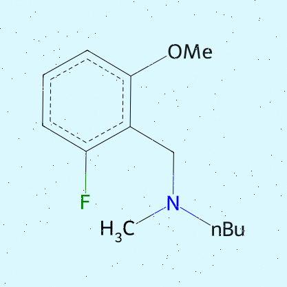 CCCCN(C)Cc1c(F)cccc1OC